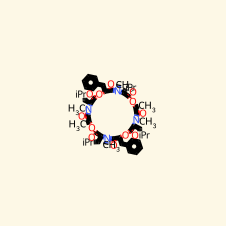 CC(C)CC1C(=O)OC(Cc2ccccc2)C(=O)N(C)C(C(C)C)C(=O)OC(C)C(=O)N(C)C(CC(C)C)C(=O)OC(Cc2ccccc2)C(=O)N(C)C(CC(C)C)C(=O)OC(C)C(=O)N1C